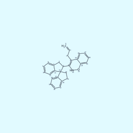 C=CCC1=C(C2Cc3ccccc3C23CCc2ccccc23)NOc2ccccc21